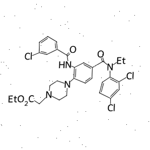 CCOC(=O)CN1CCN(c2ccc(C(=O)N(CC)c3ccc(Cl)cc3Cl)cc2NC(=O)c2cccc(Cl)c2)CC1